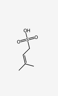 CC(C)=CCS(=O)(=O)O